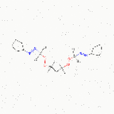 CCC(CC)(N=NC1CCCC1)OOC(C)(C)CC(C)(C)OOC(CC)(CC)N=NC1CCCC1